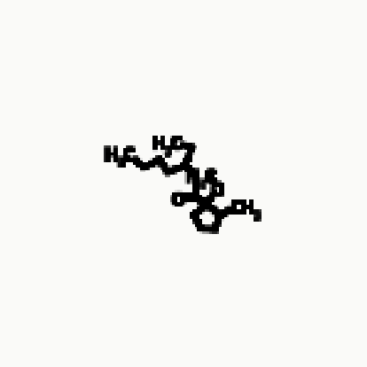 CCCCC(CC)CC(=O)C1(OC)CCCC1C